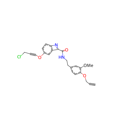 C#CCOc1ccc(CCNC(=O)C2=Nc3ccc(OC#CCCl)cc32)cc1OC